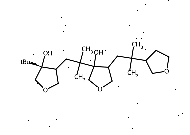 CC(C)(CC1COCC1(O)C(C)(C)CC1COC[C@@]1(O)C(C)(C)C)C1CCOC1